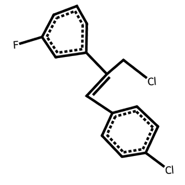 Fc1cccc(C(=Cc2ccc(Cl)cc2)CCl)c1